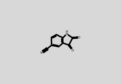 N#Cc1ccc2c(c1)C(=O)C(=O)N2